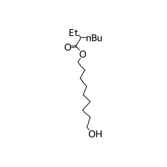 CCCCC(CC)C(=O)OCCCCCCCCCO